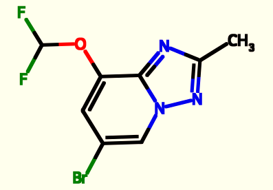 Cc1nc2c(OC(F)F)cc(Br)cn2n1